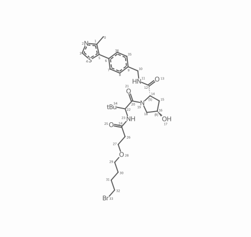 Cc1ncsc1-c1ccc(CNC(=O)[C@@H]2C[C@@H](O)CN2C(=O)C(NC(=O)CCOCCCCBr)C(C)(C)C)cc1